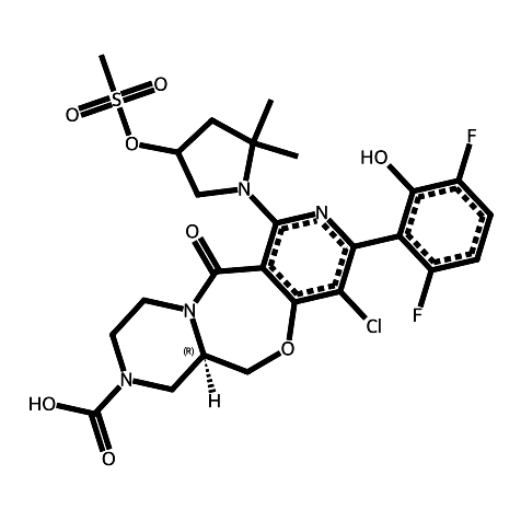 CC1(C)CC(OS(C)(=O)=O)CN1c1nc(-c2c(F)ccc(F)c2O)c(Cl)c2c1C(=O)N1CCN(C(=O)O)C[C@@H]1CO2